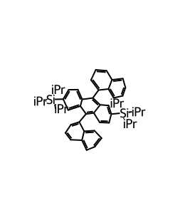 CC(C)[Si](c1ccc2c(-c3cccc4ccccc34)c3cc([Si](C(C)C)(C(C)C)C(C)C)ccc3c(-c3cccc4ccccc34)c2c1)(C(C)C)C(C)C